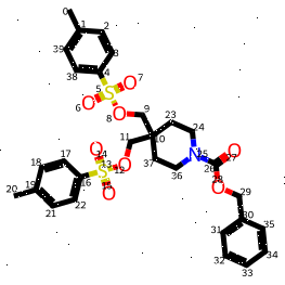 Cc1ccc(S(=O)(=O)OCC2(COS(=O)(=O)c3ccc(C)cc3)CCN(C(=O)OCc3ccccc3)CC2)cc1